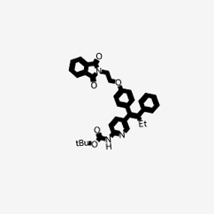 CC/C(=C(/c1ccc(OCCN2C(=O)c3ccccc3C2=O)cc1)c1ccc(NC(=O)OC(C)(C)C)nc1)c1ccccc1